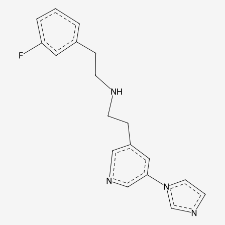 Fc1cccc(CCNCCc2cncc(-n3ccnc3)c2)c1